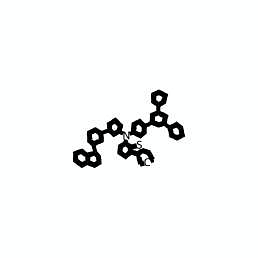 c1ccc(-c2cc(-c3ccccc3)cc(-c3ccc(N(c4cccc(-c5cccc(-c6cccc7ccccc67)c5)c4)c4cccc5c4sc4ccccc45)cc3)c2)cc1